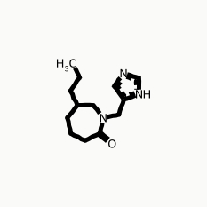 CCCC1CCCC(=O)N(Cc2cnc[nH]2)C1